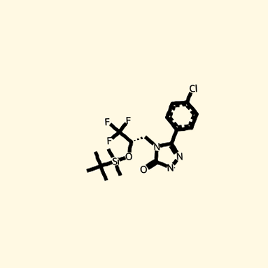 CC(C)(C)[Si](C)(C)O[C@@H](CN1C(=O)[N]N=C1c1ccc(Cl)cc1)C(F)(F)F